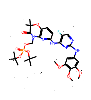 COc1cc(Nc2ncc(F)c(Nc3ccc4c(n3)N(COP(=O)(OC(C)(C)C)OC(C)(C)C)C(=O)C(C)(C)O4)n2)cc(OC)c1OC